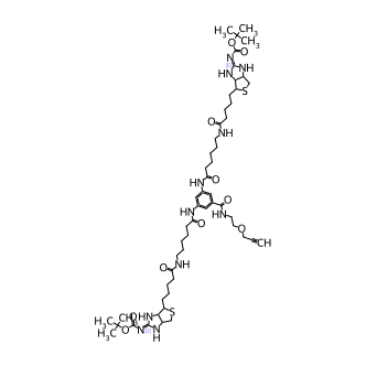 C#CCOCCNC(=O)c1cc(NC(=O)CCCCCNC(=O)CCCCC2SCC3N/C(=N/C(=O)OC(C)(C)C)NC32)cc(NC(=O)CCCCCNC(=O)CCCCC2SCC3N/C(=N\C(=O)OC(C)(C)C)NC32)c1